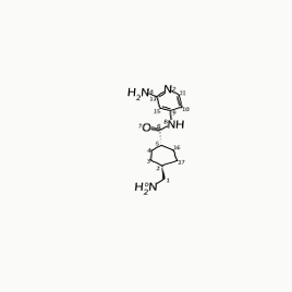 NC[C@H]1CC[C@H](C(=O)Nc2ccnc(N)c2)CC1